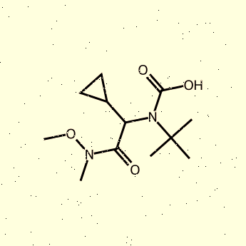 CON(C)C(=O)C(C1CC1)N(C(=O)O)C(C)(C)C